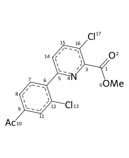 COC(=O)c1nc(-c2ccc(C(C)=O)cc2Cl)ccc1Cl